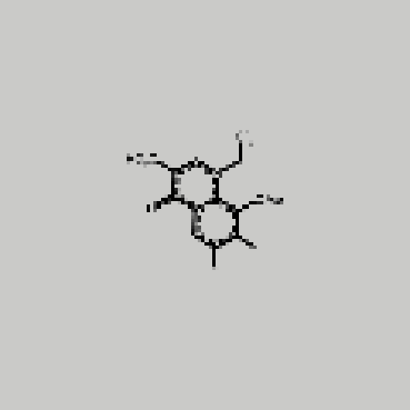 COc1c(F)c(F)cc2c(=O)c(C(=O)O)cn(CC(F)(F)F)c12